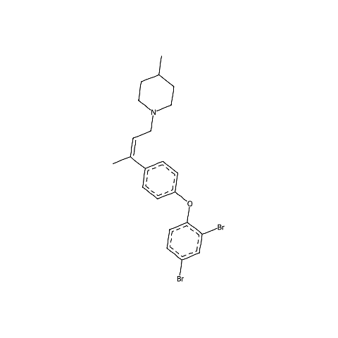 C/C(=C/CN1CCC(C)CC1)c1ccc(Oc2ccc(Br)cc2Br)cc1